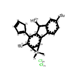 CC(C)(C)c1ccc2c(c1)[CH]([Hf+2])c1c(C3=CC=CC3)c(C(C)(C)C)c3c(c1-2)[Si]3(C)C.[Cl-].[Cl-]